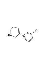 Clc1cccc(C2=CCCNC2)c1